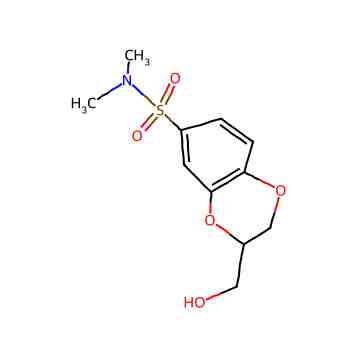 CN(C)S(=O)(=O)c1ccc2c(c1)OC(CO)CO2